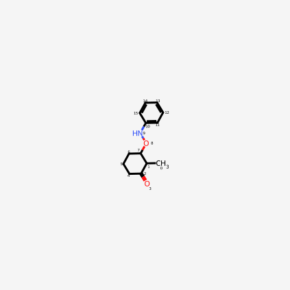 CC1C(=O)CCCC1ONc1ccccc1